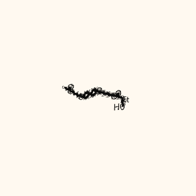 C=CC(=O)OCCCCCOc1ccc(-c2ccc(OCCCCCCOC(=O)CCN(CC)CCO)cc2)cc1